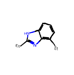 CCc1nc2c(CC)cccc2[nH]1